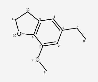 CCc1cc2c(c(OC)c1)OCC2